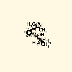 Cc1noc(C)c1C=Cc1ccccc1OCC(O)CNC(C)(C)C